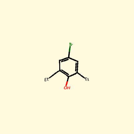 CCc1cc(Br)cc(CC)c1O